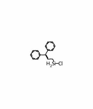 Cl[SiH2]CC=C(c1ccccc1)c1ccccc1